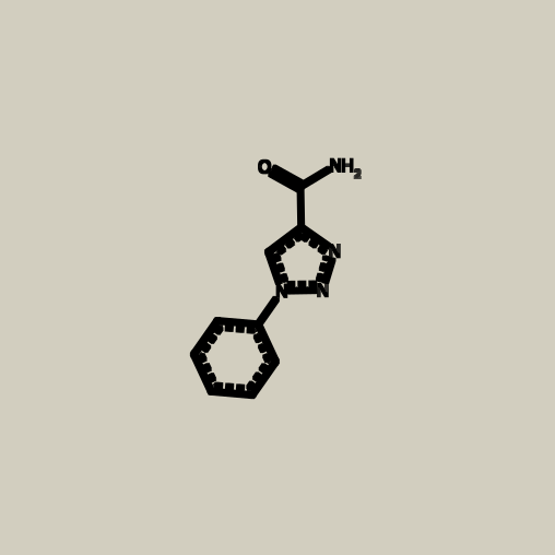 NC(=O)c1cn(-c2ccccc2)nn1